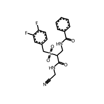 N#CCNC(=O)C(CNC(=O)c1ccccc1)S(=O)(=O)Cc1ccc(F)c(F)c1